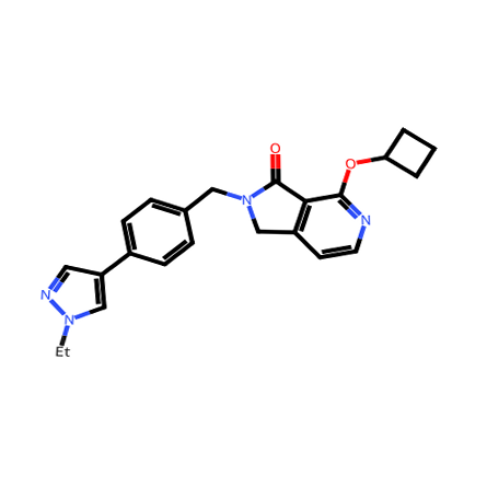 CCn1cc(-c2ccc(CN3Cc4ccnc(OC5CCC5)c4C3=O)cc2)cn1